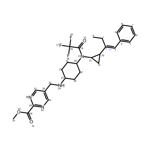 CC/C(=C\c1ccccc1)C1CC1N(C(=O)C(F)(F)F)C1CCC(NCc2cnc(C(=O)OC)nc2)CC1